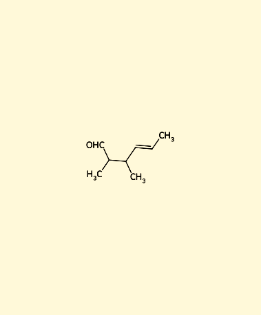 CC=CC(C)C(C)C=O